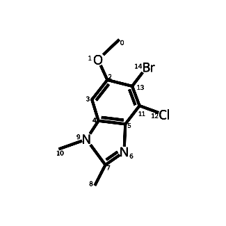 COc1cc2c(nc(C)n2C)c(Cl)c1Br